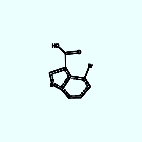 O=C(O)c1csc2cccc(Br)c12